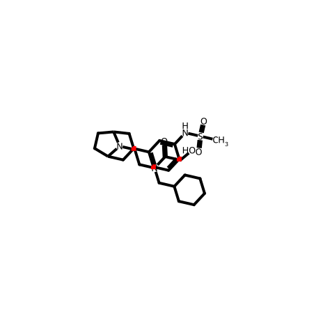 CS(=O)(=O)Nc1cccc(C2CC3CCC(C2)N3CCN(CC2CCCCC2)C(=O)CO)c1